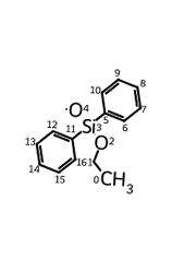 CCO[Si]([O])(c1ccccc1)c1ccccc1